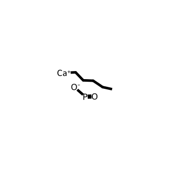 CCCC[CH2][Ca+].O=P[O-]